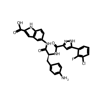 Nc1ccc(C[C@H](NC(=O)c2cc(-c3cccc(Cl)c3F)[nH]n2)C(=O)Nc2ccc3[nH]c(C(=O)O)cc3c2)cc1